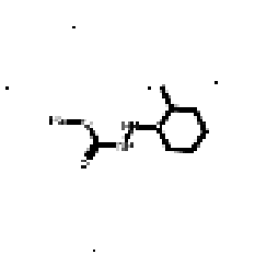 CC1CCCCC1NNC(=O)OC(C)(C)C